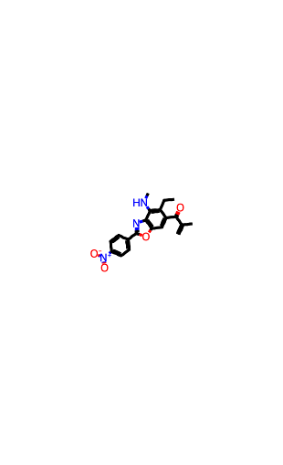 C=C(C)C(=O)c1cc2oc(-c3ccc([N+](=O)[O-])cc3)nc2c(NC)c1CC